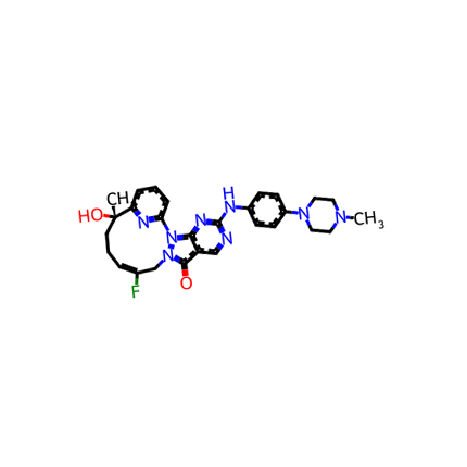 CN1CCN(c2ccc(Nc3ncc4c(=O)n5n(c4n3)-c3cccc(n3)[C@@](C)(O)CC/C=C(/F)C5)cc2)CC1